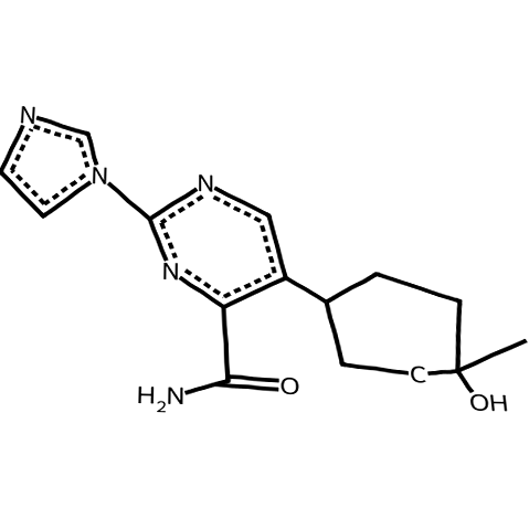 CC1(O)CCC(c2cnc(-n3ccnc3)nc2C(N)=O)CC1